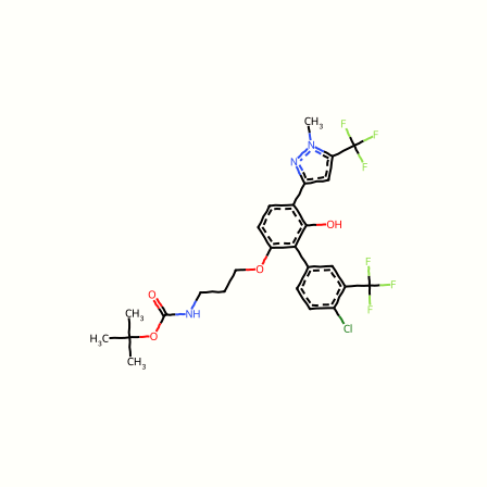 Cn1nc(-c2ccc(OCCCNC(=O)OC(C)(C)C)c(-c3ccc(Cl)c(C(F)(F)F)c3)c2O)cc1C(F)(F)F